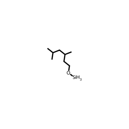 CC(C)CC(C)CCO[SiH3]